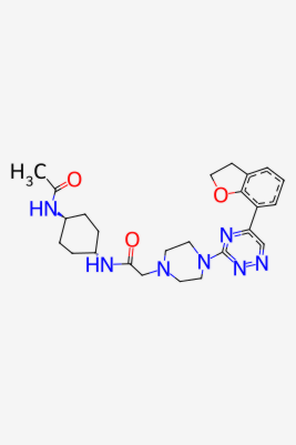 CC(=O)N[C@H]1CC[C@H](NC(=O)CN2CCN(c3nncc(-c4cccc5c4OCC5)n3)CC2)CC1